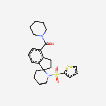 O=C(c1cccc2c1CCC21CCCCN1S(=O)(=O)c1cccs1)N1CCCCC1